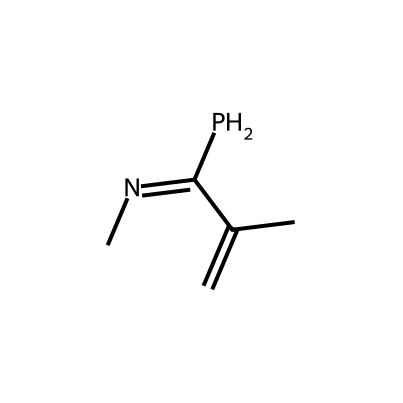 C=C(C)/C(P)=N\C